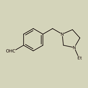 CCN1CCN(Cc2ccc(C=O)cc2)C1